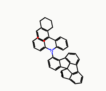 c1ccc(N(c2ccccc2-c2cccc3c2CCCC3)c2cccc3c2-c2cccc4c2C32c3ccccc3-c3cccc-4c32)cc1